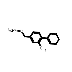 CC(=O)NOCc1ccc(C2=CCCCC2)c(C(F)(F)F)c1